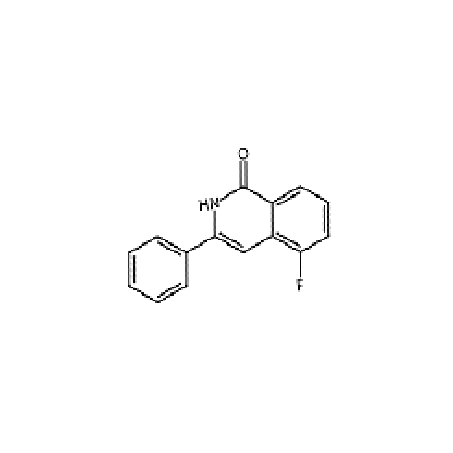 O=c1[nH]c(-c2ccccc2)cc2c(F)cccc12